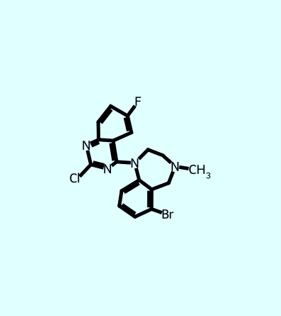 CN1CCN(c2nc(Cl)nc3ccc(F)cc23)c2cccc(Br)c2C1